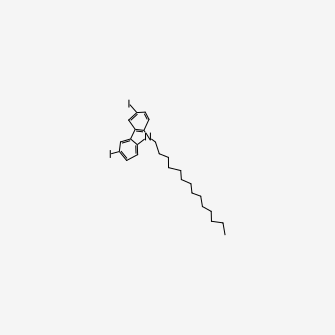 CCCCCCCCCCCCCCn1c2ccc(I)cc2c2cc(I)ccc21